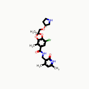 Cc1cc(C)c(CNC(=O)c2cc(Br)c3c(c2C)O[C@@](C)(CO[C@H]2CCNC2)O3)c(=O)[nH]1